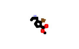 C/C=C\C1CCC(C(=O)OC)C1Br